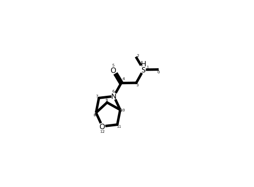 C[SH](C)CC(=O)N1CC2CC1CO2